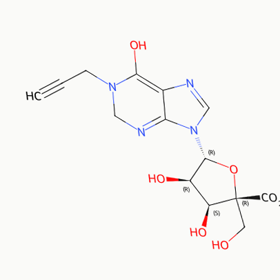 C#CCN1CN=c2c(ncn2[C@@H]2O[C@@](CO)(C(=O)O)[C@@H](O)[C@H]2O)=C1O